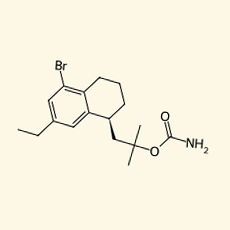 CCc1cc(Br)c2c(c1)[C@H](CC(C)(C)OC(N)=O)CCC2